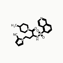 CC1CCN(C(=O)C(CCn2cccc2C#N)NS(=O)(=O)c2cccc3cnccc23)CC1